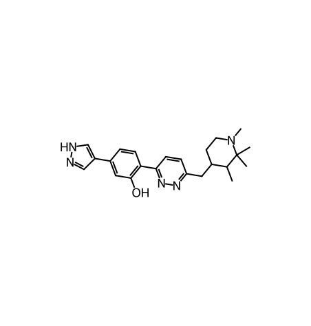 CC1C(Cc2ccc(-c3ccc(-c4cn[nH]c4)cc3O)nn2)CCN(C)C1(C)C